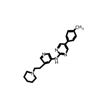 Cc1ccc(-c2cnc(Nc3cncc(CCN4CCCCC4)c3)nc2)cc1